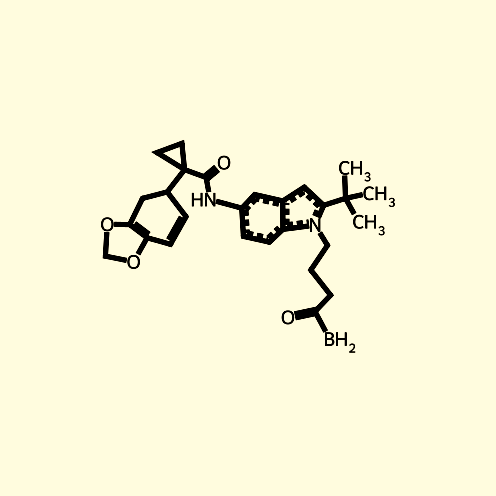 BC(=O)CCCn1c(C(C)(C)C)cc2cc(NC(=O)C3(C4C=CC5=C(C4)OCO5)CC3)ccc21